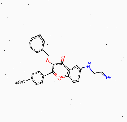 COc1ccc(-c2oc3ccc(NCC=N)cc3c(=O)c2OCc2ccccc2)cc1